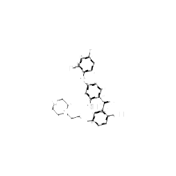 Cc1ccc(OCCN2CCOCC2)cc1C(=O)c1ccc(Nc2ccc(F)cc2F)cc1N